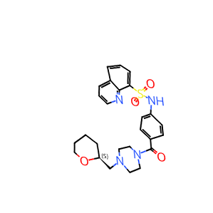 O=C(c1ccc(NS(=O)(=O)c2cccc3cccnc23)cc1)N1CCN(C[C@@H]2CCCCO2)CC1